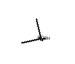 CCCCCCCCCCCCCCCC(=O)C(C)(C(=O)CCCCCCCCCCCCCCC)N(C)CCO